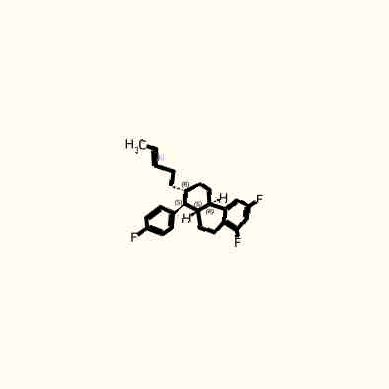 C/C=C/CC[C@@H]1CC[C@H]2c3cc(F)cc(F)c3CC[C@@H]2[C@H]1c1ccc(F)cc1